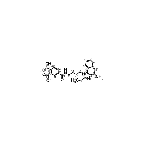 CCc1nc2c(N)nc3ccccc3c2n1CCCCNC(=O)c1ccc(N(C)C)c([N+](=O)[O-])c1